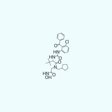 CC(C)(C)[C@H](NC(=O)Nc1cccc(Cl)c1C(=O)c1ccccc1)C(=O)N(CC(=O)NO)CC1CCCC1